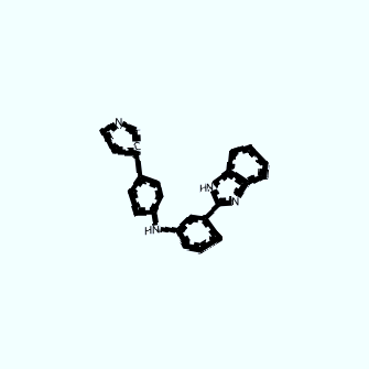 c1cc(Nc2ccc(-c3ccncc3)cc2)cc(-c2nc3ccccc3[nH]2)c1